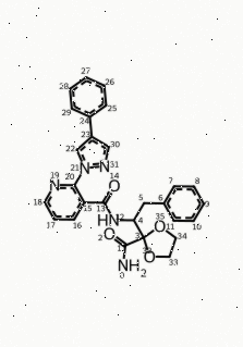 NC(=O)C1(C(Cc2ccccc2)NC(=O)c2cccnc2-n2cc(-c3ccccc3)cn2)OCCO1